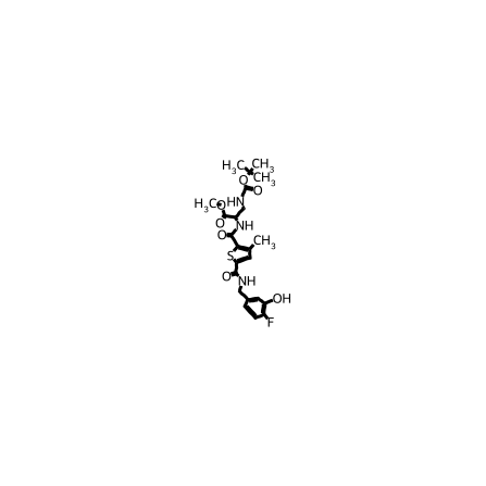 COC(=O)C(CNC(=O)OC(C)(C)C)NC(=O)c1sc(C(=O)NCc2ccc(F)c(O)c2)cc1C